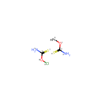 CCCOC(N)=S.NC(=S)OCl